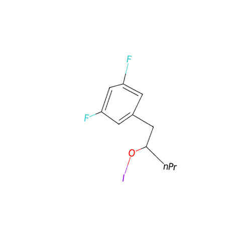 CCCC(Cc1cc(F)cc(F)c1)OI